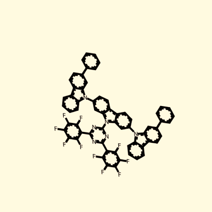 Fc1c(F)c(F)c(-c2nc(-c3c(F)c(F)c(F)c(F)c3F)nc(-n3c4cc(-n5c6ccccc6c6ccc(-c7ccccc7)cc65)ccc4c4ccc(-n5c6ccccc6c6ccc(-c7ccccc7)cc65)cc43)n2)c(F)c1F